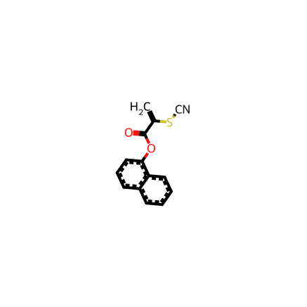 C=C(SC#N)C(=O)Oc1cccc2ccccc12